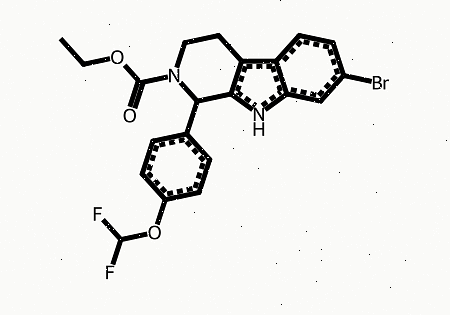 CCOC(=O)N1CCc2c([nH]c3cc(Br)ccc23)C1c1ccc(OC(F)F)cc1